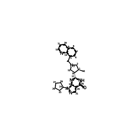 C[C@@H]1CN(Cc2cccc3cccnc23)C[C@H]1c1nc2c(cnn2C2CCCC2)c(=O)[nH]1